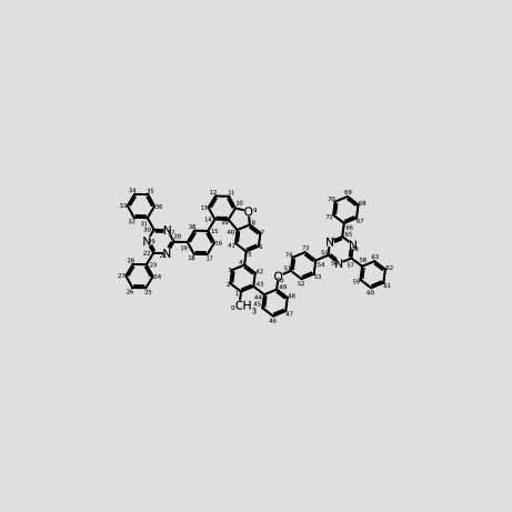 Cc1ccc(-c2ccc3oc4cccc(-c5cccc(-c6nc(-c7ccccc7)nc(-c7ccccc7)n6)c5)c4c3c2)cc1-c1ccccc1Oc1ccc(-c2nc(-c3ccccc3)nc(-c3ccccc3)n2)cc1